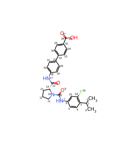 CC(C)c1ccc(NC(=O)N2CCC[C@@H]2C(=O)Nc2ccc(-c3ccc(C(=O)O)cc3)cc2)cc1F